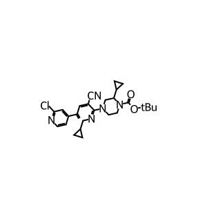 C=C(/C=C(C#N)\C(=N/CC1CC1)N1CCN(C(=O)OC(C)(C)C)C(C2CC2)C1)c1ccnc(Cl)c1